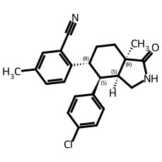 Cc1ccc([C@@H]2CC[C@@]3(C)C(=O)NC[C@H]3[C@H]2c2ccc(Cl)cc2)c(C#N)c1